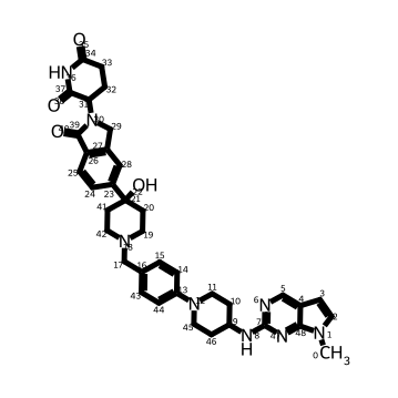 Cn1ccc2cnc(NC3CCN(c4ccc(CN5CCC(O)(c6ccc7c(c6)CN(C6CCC(=O)NC6=O)C7=O)CC5)cc4)CC3)nc21